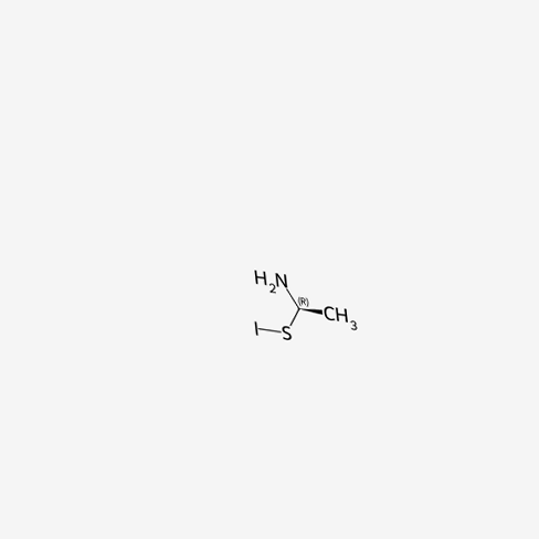 C[C@H](N)SI